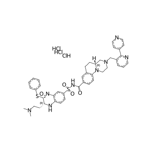 CN(C)CC[C@H](CSc1ccccc1)Nc1ccc(S(=O)(=O)NC(=O)c2ccc3c(c2)CC[C@@H]2CN(Cc4cccnc4-c4ccncc4)CCN32)cc1[N+](=O)[O-].Cl.Cl.Cl